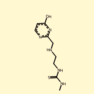 CNC(=S)NCCNCc1nccc(O)n1